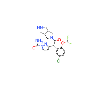 NC(=O)n1c[c]c(C(C(=O)N2CC3CNCC3C2)c2cc(Cl)ccc2OC(F)F)n1